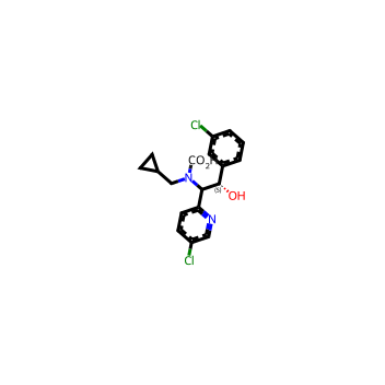 O=C(O)N(CC1CC1)C(c1ccc(Cl)cn1)[C@@H](O)c1cccc(Cl)c1